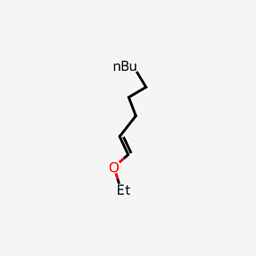 CCCCCCCC=COCC